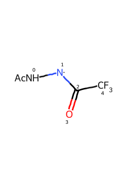 CC(=O)N[N]C(=O)C(F)(F)F